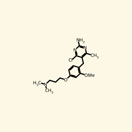 COc1cc(OCCCN(C)C)ccc1Cc1c(C)nc(N)nc1Cl